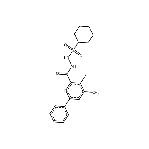 Cc1cc(-c2ccccc2)nc(C(=O)NNS(=O)(=O)C2CCCCC2)c1F